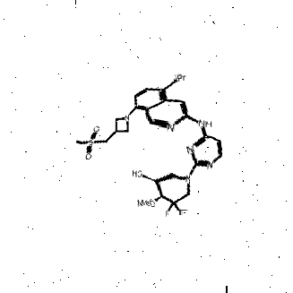 CO[C@H]1[C@@H](O)CN(c2nccc(Nc3cc4c(C(C)C)ccc(N5CC(CS(C)(=O)=O)C5)c4cn3)n2)CC1(F)F